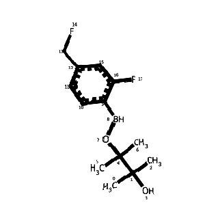 CC(C)(O)C(C)(C)OBc1ccc(CF)cc1F